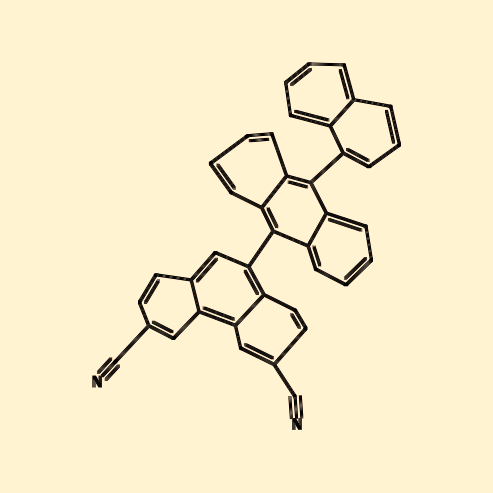 N#Cc1ccc2cc(-c3c4ccccc4c(-c4cccc5ccccc45)c4ccccc34)c3ccc(C#N)cc3c2c1